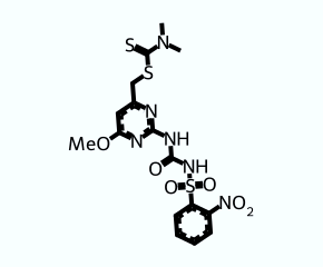 COc1cc(CSC(=S)N(C)C)nc(NC(=O)NS(=O)(=O)c2ccccc2[N+](=O)[O-])n1